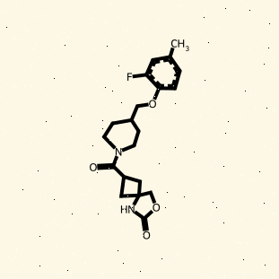 Cc1ccc(OCC2CCN(C(=O)C3CC4(COC(=O)N4)C3)CC2)c(F)c1